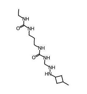 CCNC(=O)NCCCNC(=O)NCNNC1CC(C)C1